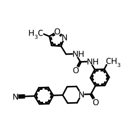 Cc1cc(CNC(=O)Nc2cc(C(=O)N3CCC(c4ccc(C#N)cc4)CC3)ccc2C)no1